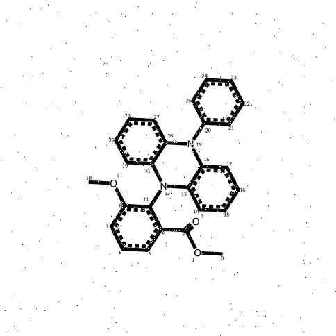 COC(=O)c1cccc(OC)c1N1c2ccccc2N(c2ccccc2)c2ccccc21